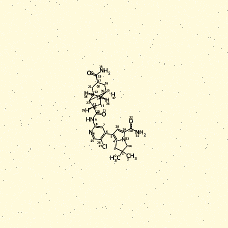 CC1(C)Cc2c(-c3cc(NC(=O)[C@H]4C[C@H]5[C@@H]6C[C@H](C(N)=O)C[C@H]5C46)ncc3Cl)cc(C(N)=O)n2C1